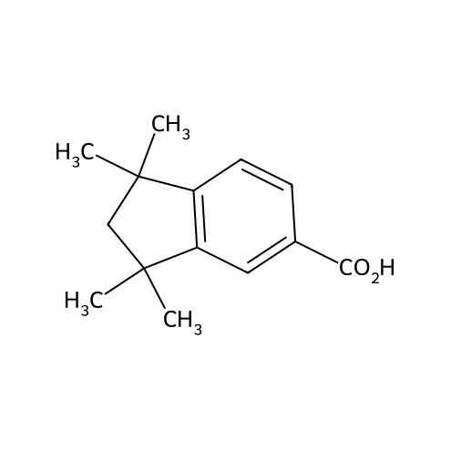 CC1(C)CC(C)(C)c2cc(C(=O)O)ccc21